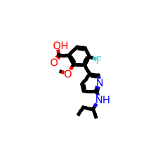 CCC(C)Nc1ccc(-c2c(F)ccc(C(=O)O)c2OC)cn1